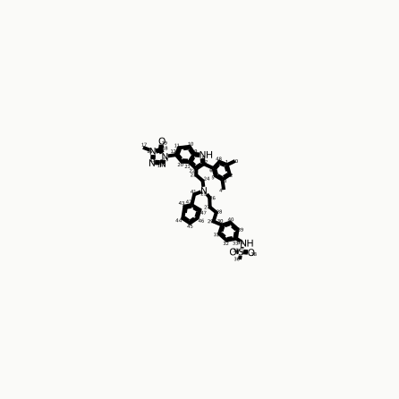 Cc1cc(C)cc(-c2[nH]c3ccc(-n4nnn(C)c4=O)cc3c2CCN(CCCCc2ccc(NS(C)(=O)=O)cc2)Cc2ccccc2)c1